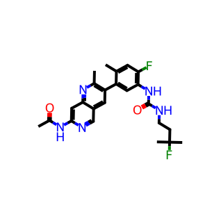 CC(=O)Nc1cc2nc(C)c(-c3cc(NC(=O)NCCC(C)(C)F)c(F)cc3C)cc2cn1